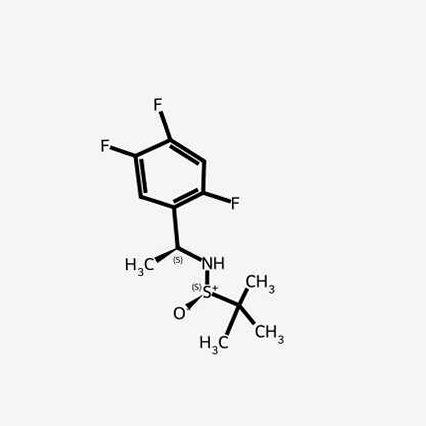 C[C@H](N[S@+]([O-])C(C)(C)C)c1cc(F)c(F)cc1F